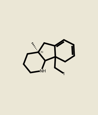 C[C@@]12CCCNC1C1(CI)CC=CC=C1C2